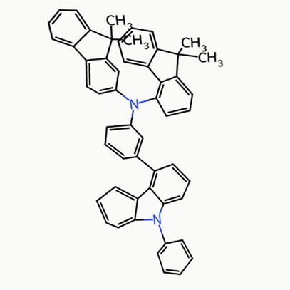 CC1(C)c2ccccc2-c2ccc(N(c3cccc(-c4cccc5c4c4ccccc4n5-c4ccccc4)c3)c3cccc4c3-c3ccccc3C4(C)C)cc21